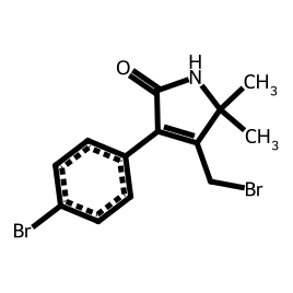 CC1(C)NC(=O)C(c2ccc(Br)cc2)=C1CBr